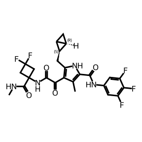 CNC(=O)C1(NC(=O)C(=O)c2c(C[C@H]3C4C[C@H]43)[nH]c(C(=O)Nc3cc(F)c(F)c(F)c3)c2C)CC(F)(F)C1